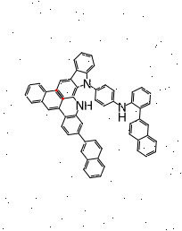 c1ccc(-c2ccc3ccccc3c2)c(Nc2ccc(-n3c4ccccc4c4cccc(Nc5cc(-c6ccc7ccccc7c6)ccc5-c5ccc6ccccc6c5)c43)cc2)c1